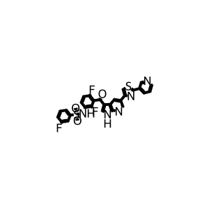 O=C(c1c(F)ccc(NS(=O)(=O)c2cccc(F)c2)c1F)c1c[nH]c2ncc(-c3csc(-c4cccnc4)n3)cc12